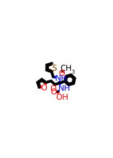 COc1ccccc1C(NCc1cccs1)(NC(=O)O)C(=O)Cc1ccco1